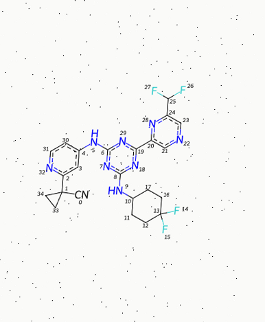 N#CC1(c2cc(Nc3nc(NC4CCC(F)(F)CC4)nc(-c4cncc(C(F)F)n4)n3)ccn2)CC1